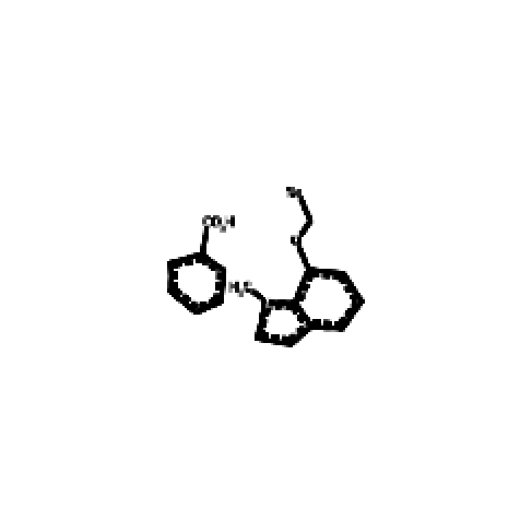 Cn1ccc2cccc(O[CH2][Na])c21.O=C(O)c1ccccc1